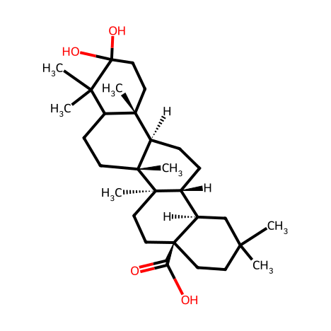 CC1(C)CC[C@]2(C(=O)O)CC[C@]3(C)[C@H](CC[C@@H]4[C@@]5(C)CCC(O)(O)C(C)(C)C5CC[C@]43C)[C@H]2C1